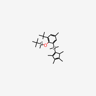 CC1=C(C)C(C)C([Si](C)(C)c2cc(C)cc(C(C)(C)C)c2O[Si](C)(C)C(C)(C)C)=C1C